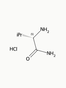 CC(C)[C@H](N)C(N)=O.Cl